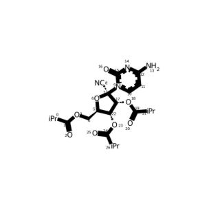 CC(C)C(=O)OC[C@H]1O[C@@](C#N)(n2ccc(N)nc2=O)[C@H](OC(=O)C(C)C)[C@@H]1OC(=O)C(C)C